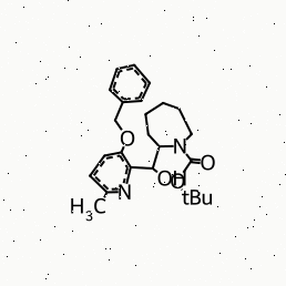 Cc1ccc(OCc2ccccc2)c(C(O)C2CCCCCN2C(=O)OC(C)(C)C)n1